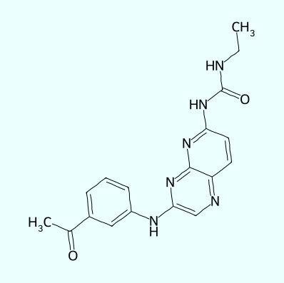 CCNC(=O)Nc1ccc2ncc(Nc3cccc(C(C)=O)c3)nc2n1